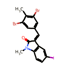 Cc1c(Br)cc(C=C2C(=O)N(C)c3ccc(I)cc32)cc1Br